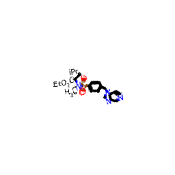 CCOC(=O)[C@H](CC(C)C)N(C)S(=O)(=O)c1ccc(Cn2cnc3cnccc32)cc1